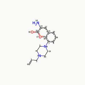 C=CCN1CCN(c2cccc3cc(N)c(=O)oc23)CC1